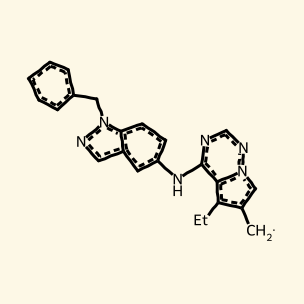 [CH2]c1cn2ncnc(Nc3ccc4c(cnn4Cc4ccccc4)c3)c2c1CC